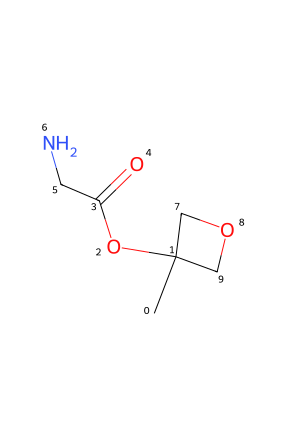 CC1(OC(=O)CN)COC1